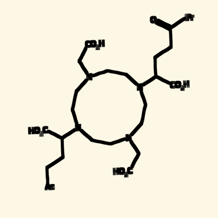 CC(=O)CCC(C(=O)O)N1CCN(CC(=O)O)CCN(C(CCC(=O)C(C)C)C(=O)O)CCN(CC(=O)O)CC1